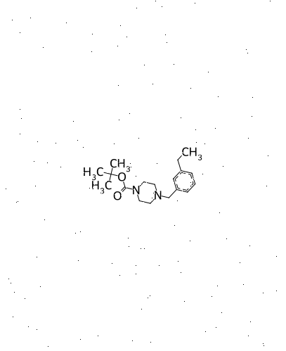 CCc1cccc(CN2CCN(C(=O)OC(C)(C)C)CC2)c1